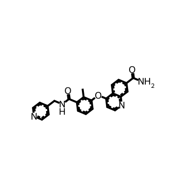 Cc1c(Oc2ccnc3cc(C(N)=O)ccc23)cccc1C(=O)NCc1ccncc1